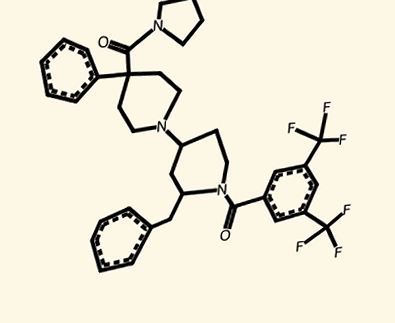 O=C(c1cc(C(F)(F)F)cc(C(F)(F)F)c1)N1CCC(N2CCC(C(=O)N3CCCC3)(c3ccccc3)CC2)CC1Cc1ccccc1